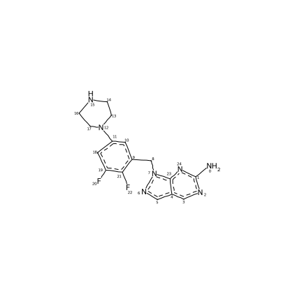 Nc1ncc2cnn(Cc3cc(N4CCNCC4)cc(F)c3F)c2n1